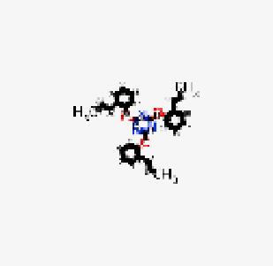 CC=Cc1ccccc1Oc1nc(Oc2ccccc2C=CC)nc(Oc2ccccc2C=CC)n1